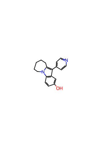 Oc1ccc2c(c1)c(-c1ccncc1)c1n2CCCCC1